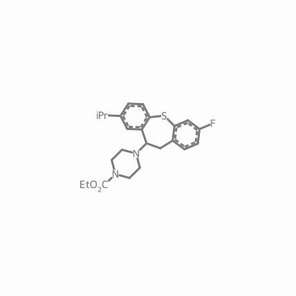 CCOC(=O)N1CCN(C2Cc3ccc(F)cc3Sc3ccc(C(C)C)cc32)CC1